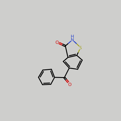 O=C(c1ccccc1)c1ccc2s[nH]c(=O)c2c1